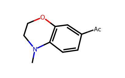 CC(=O)c1ccc2c(c1)OCCN2C